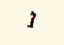 CC(CCOCc1ccc(-c2ccc(N3CCN(C(=O)O)CC3)cc2)cc1)CC(=O)NCC#N